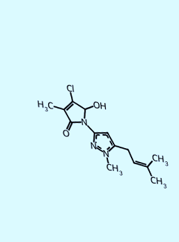 CC(C)=CCc1cc(N2C(=O)C(C)=C(Cl)C2O)nn1C